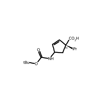 CC(C)[C@]1(C(=O)O)C=CC(NC(=O)OC(C)(C)C)C1